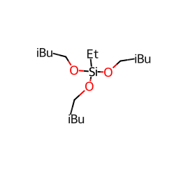 CCC(C)CO[Si](CC)(OCC(C)CC)OCC(C)CC